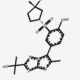 COc1ccc(-c2c(C)nc3sc(C(C)(C)O)nn23)cc1S(=O)(=O)[C@@H]1CC[C@](C)(O)C1